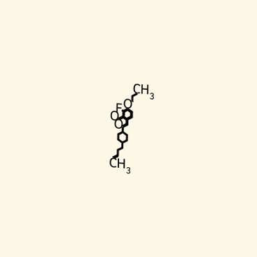 C/C=C/CCC1CCC(c2cc3ccc(OCCCC)c(F)c3c(=O)o2)CC1